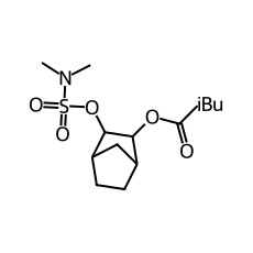 CCC(C)C(=O)OC1C2CCC(C2)C1OS(=O)(=O)N(C)C